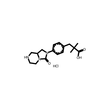 CC(C)(Cc1ccc(N2CC3CNCCN3C2=O)cc1)C(=O)O.Cl